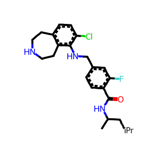 CC(C)CC(C)NC(=O)c1ccc(CNc2c(Cl)ccc3c2CCNCC3)cc1F